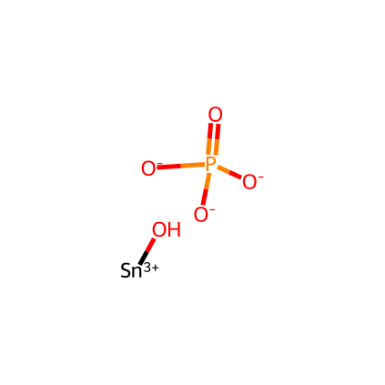 O=P([O-])([O-])[O-].[OH][Sn+3]